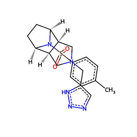 Cc1ccc(S(=O)(=O)N2[C@@H]3CC[C@H]2[C@H]2CN(Cc4cnn[nH]4)C[C@H]23)cc1